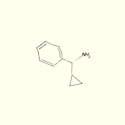 N[C@@H](c1ccccc1)C1CC1